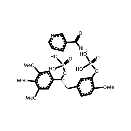 COc1ccc(C[C@@H](OP(=O)(O)O)c2cc(OC)c(OC)c(OC)c2)cc1OP(=O)(O)O.NC(=O)c1cccnc1